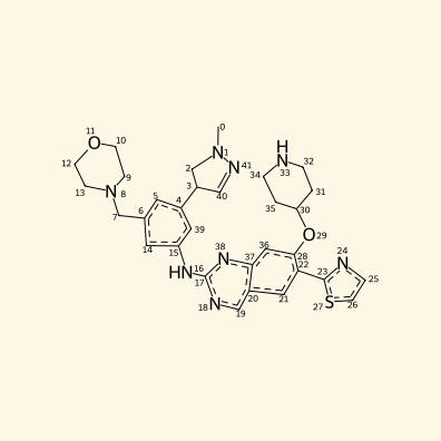 CN1CC(c2cc(CN3CCOCC3)cc(Nc3ncc4cc(-c5nccs5)c(OC5CCNCC5)cc4n3)c2)C=N1